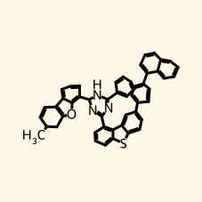 CC1C=Cc2c(oc3c(C4N=C(c5cccc6sc7ccc(-c8ccc(-c9cccc%10ccccc9%10)cc8)cc7c56)N=C(c5ccccc5)N4)cccc23)C1